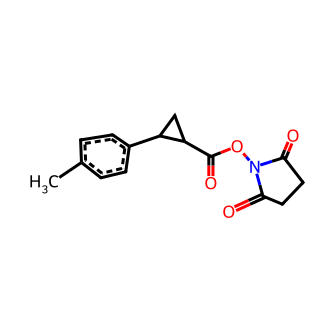 Cc1ccc(C2CC2C(=O)ON2C(=O)CCC2=O)cc1